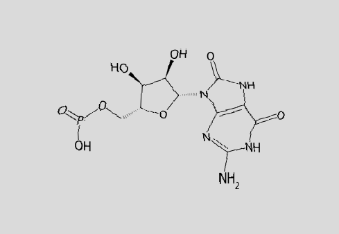 Nc1nc2c([nH]c(=O)n2[C@@H]2O[C@H](CO[P](=O)O)[C@@H](O)[C@H]2O)c(=O)[nH]1